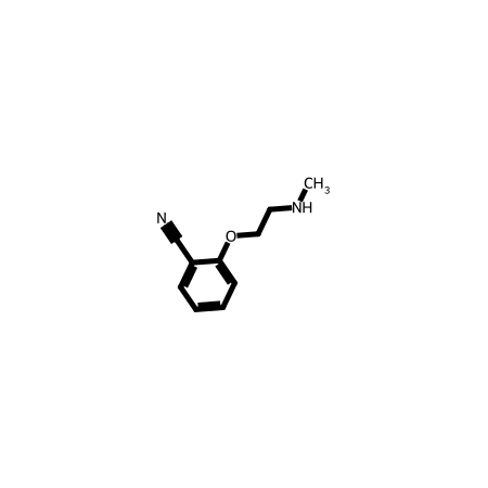 CNCCOc1ccccc1C#N